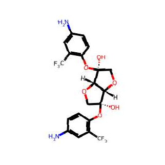 Nc1ccc(O[C@@]2(O)CO[C@H]3[C@@H]2OC[C@]3(O)Oc2ccc(N)cc2C(F)(F)F)c(C(F)(F)F)c1